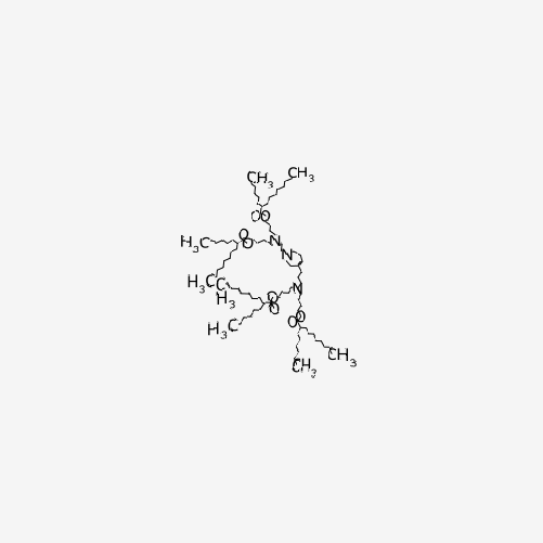 CCCCCCCCC(CCCCCC)C(=O)OCCCCN(CCCCOC(=O)C(CCCCCC)CCCCCCCC)CCCC1=CCCN(CCN(CCCCOC(=O)C(CCCCCC)CCCCCCCC)CCCCOC(=O)C(CCCCCC)CCCCCCCC)CC1